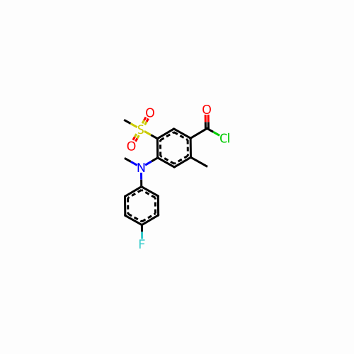 Cc1cc(N(C)c2ccc(F)cc2)c(S(C)(=O)=O)cc1C(=O)Cl